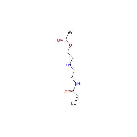 C=CC(=O)NCCNCCOC(=O)C(C)C